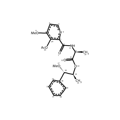 COc1ccnc(C(=O)N[C@@H](C)C(=O)O[C@@H](C)[C@@H](OC)c2ccccc2)c1OC(C)=O